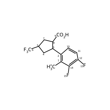 Cc1c(C2CC(C(F)(F)F)CC2C(=O)O)ccc(F)c1F